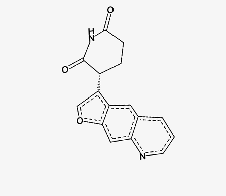 O=C1CC[C@H](c2coc3cc4ncccc4cc23)C(=O)N1